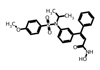 COc1ccc(S(=O)(=O)N(c2cccc(/C(=C\C(=O)NO)c3ccccc3)c2)C(C)C)cc1